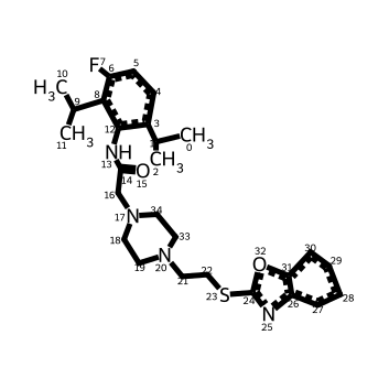 CC(C)c1ccc(F)c(C(C)C)c1NC(=O)CN1CCN(CCSc2nc3ccccc3o2)CC1